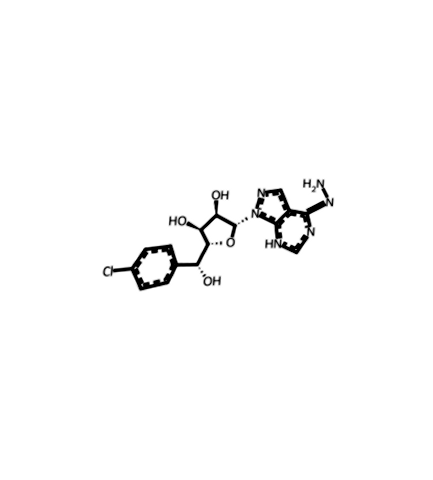 N/N=c1/nc[nH]c2c1cnn2[C@@H]1O[C@H]([C@H](O)c2ccc(Cl)cc2)[C@@H](O)[C@H]1O